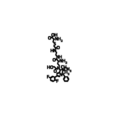 CC(C)(C)C(c1cc(-c2cc(F)ccc2F)cn1Cc1ccccc1)N(CCC(N)C(=O)NCCNC(=O)CSC[C@H](N)C(=O)O)C(=O)CO